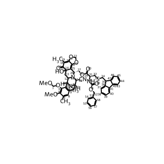 COCOc1c(OC)c(C)cc2c1[C@@H]1C3CC4(O)C(=O)C(C)=C5OCOC5=C4[C@H](COC(=O)[C@@H](CSCC4c5ccccc5-c5ccccc54)NC(=O)OCc4ccccc4)N3[C@@H](C#N)[C@H](C2)N1C